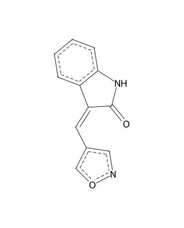 O=C1Nc2ccccc2C1=Cc1cnoc1